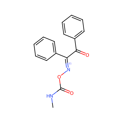 CNC(=O)O/N=C(/C(=O)c1ccccc1)c1ccccc1